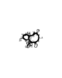 COC1[C@H]2C(=O)C[C@@H](C)CC(=O)/C=C/[C@@H]3C=C[C@H](C)C[C@]13OC2=O